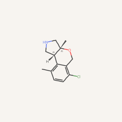 Cc1ccc(Cl)c2c1[C@@H]1CNC[C@]1(C)OC2